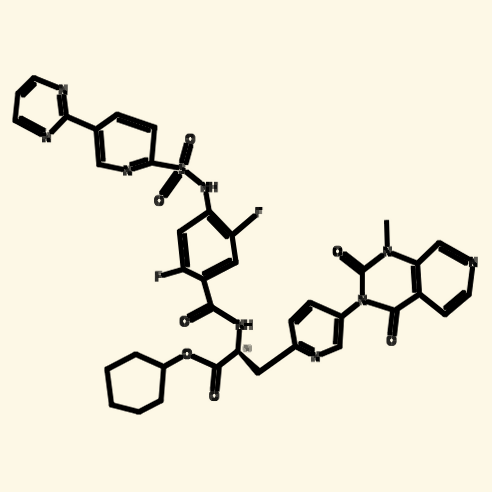 Cn1c(=O)n(-c2ccc(C[C@H](NC(=O)c3cc(F)c(NS(=O)(=O)c4ccc(-c5ncccn5)cn4)cc3F)C(=O)OC3CCCCC3)nc2)c(=O)c2ccncc21